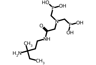 CCC(C)(N)CCNC(=O)CN(CP(O)O)CP(O)O